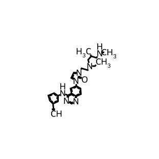 C#Cc1cccc(Nc2ncnc3ccc(-n4ccn(CCN(CC)CC(C)CNC)c4=O)cc23)c1